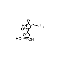 C=CCc1cn([C@H]2C[C@@H](O)[C@H](CO)O2)c(=O)[nH]c1=O